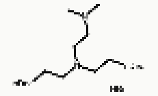 Br.CCCCCCCCCCCCN(CCCCCCCCCCCC)CCN(C)C